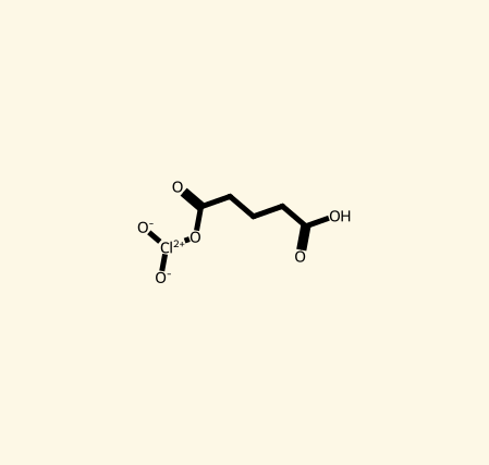 O=C(O)CCCC(=O)O[Cl+2]([O-])[O-]